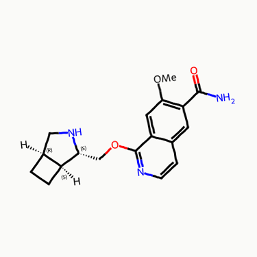 COc1cc2c(OC[C@H]3NC[C@@H]4CC[C@@H]43)nccc2cc1C(N)=O